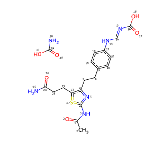 CC(=O)Nc1nc(CCc2ccc(NC=NC(=O)O)cc2)c(CCC(N)=O)s1.NC(=O)O